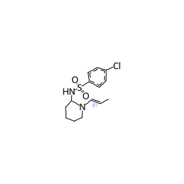 C/C=C/N1CCCCC1NS(=O)(=O)c1ccc(Cl)cc1